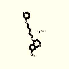 Cl.Cl.FC(F)(F)c1ccc2c(SCCCCCOc3cccnc3)ccnc2c1